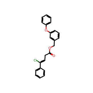 O=C(CC=C(Cl)c1ccccc1)OCc1cccc(Oc2ccccc2)c1